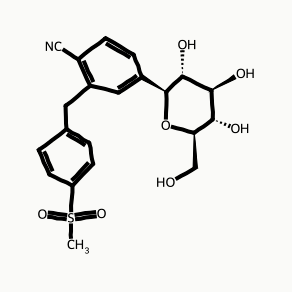 CS(=O)(=O)c1ccc(Cc2cc([C@@H]3O[C@H](CO)[C@@H](O)[C@H](O)[C@H]3O)ccc2C#N)cc1